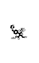 CCCCOC(=O)c1c(CC(C)C)sc(S(N)(=O)=O)c1-c1ccc(Cn2ccnc2)cc1